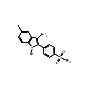 CCn1c(-c2ccc(S(N)(=O)=O)cc2)c(N)c2cc(I)ccc21